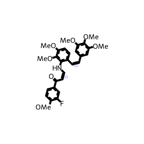 COc1ccc(C(=O)/C=C\Nc2c(/C=C\c3cc(OC)c(OC)c(OC)c3)ccc(OC)c2OC)cc1F